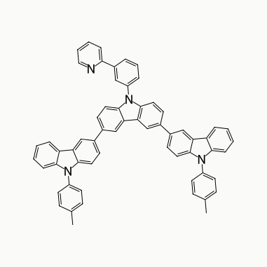 Cc1ccc(-n2c3ccccc3c3cc(-c4ccc5c(c4)c4cc(-c6ccc7c(c6)c6ccccc6n7-c6ccc(C)cc6)ccc4n5-c4cccc(-c5ccccn5)c4)ccc32)cc1